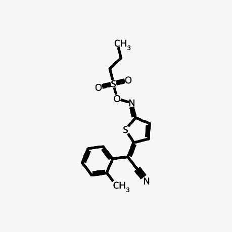 CCCS(=O)(=O)O/N=C1C=C/C(=C(\C#N)c2ccccc2C)S/1